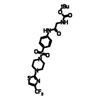 CC(C)(C)OC(=O)NCC(=O)Nc1ccc(S(=O)(=O)N2CCN(c3nc(C(F)(F)F)cs3)CC2)cc1